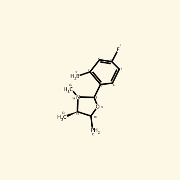 Bc1cc(F)ccc1C1OC(P)[C@@H](C)N1C